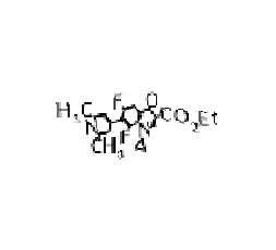 CCOC(=O)c1cn(C2CC2)c2c(F)c(-c3cc(C)nc(C)c3)c(F)cc2c1=O